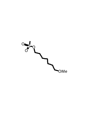 COCCCCCCCOS(C)(=O)=O